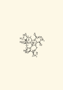 C=C1[C@@H]2C[C@H](OC(C)=O)[C@H]3[C@]4(C)[C@@H](OC(C)=O)C[C@H](O)C(C)(C)[C@H]4C[C@H](O)[C@]3(C2)[C@@H]1O